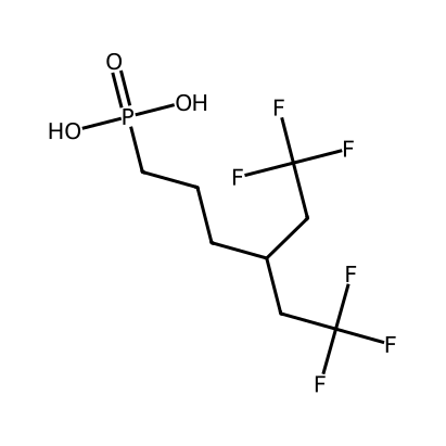 O=P(O)(O)CCCC(CC(F)(F)F)CC(F)(F)F